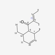 C/C=C(\C)C(=O)C1C(C)C=CCC1CC